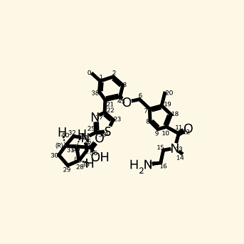 Cc1ccc(OCc2ccc(C(=O)N(C)CCN)cc2C)c(-c2csc(N3C[C@H]4CC[C@@H](C3)[C@H]4C(=O)O)n2)c1